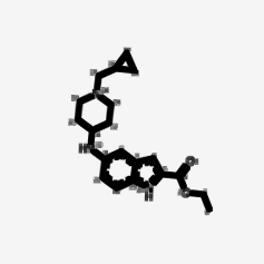 CCOC(=O)c1cc2cc(NC3CCN(CC4CC4)CC3)ccc2[nH]1